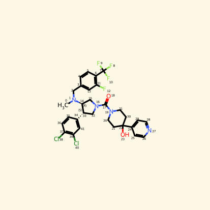 CN(Cc1ccc(C(F)(F)F)c(F)c1)[C@H]1CN(C(=O)N2CCC(O)(c3ccncc3)CC2)C[C@@H]1c1ccc(Cl)c(Cl)c1